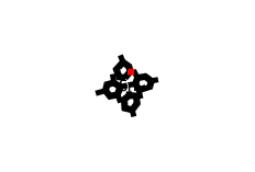 Cc1cc[c]([Sn]([c]2ccc(C)cc2)([c]2c(C)cc(C)cc2C)[c]2c(C)cc(C)cc2C)cc1